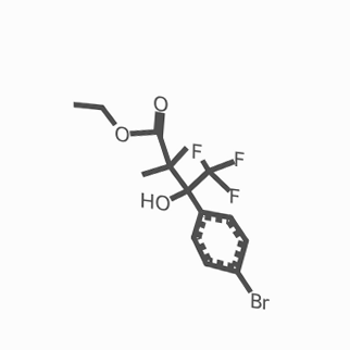 CCOC(=O)C(C)(C)C(O)(c1ccc(Br)cc1)C(F)(F)F